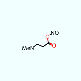 CNCCC(=O)ON=O